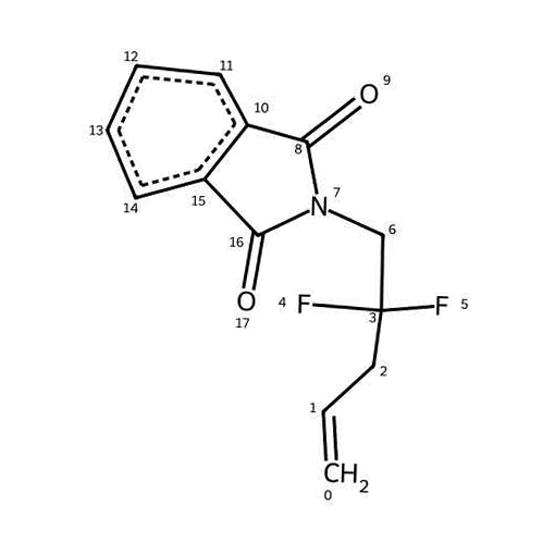 C=CCC(F)(F)CN1C(=O)c2ccccc2C1=O